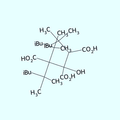 CCC(C)C(C)(C)C(C(=O)O)C(O)(C(=O)O)C(C(=O)O)(C(C)(C)C(C)CC)C(C)(C)C(C)CC